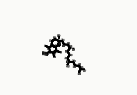 CC1=C(C)C(O)C(C)C2=C1O[C@](C)(CCC[C@H](C)CCC[C@H](C)CCCC(C)C)CC2